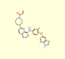 C=CC(=O)N1CCCC(c2ccc3ncnc(Nc4ccc(Oc5cnc6c(c5)ncn6C)c(C)c4F)c3n2)CC1